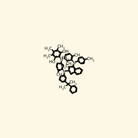 CC1=C(N(c2ccc(C)cc2)c2c(C)c(N(c3cccc(C(C)(C)c4ccccc4)c3)c3cc(N(C)c4c(O)c(C)c(C)c(C)c4O)ccc3C)cc3ccccc23)C(C)CC=C1